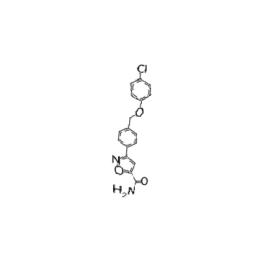 NC(=O)c1cc(-c2ccc(COc3ccc(Cl)cc3)cc2)no1